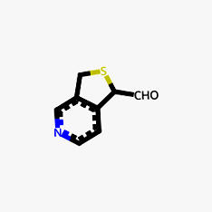 O=CC1SCc2cnccc21